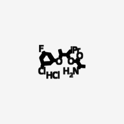 CC(N)C(=O)OC(C(C)C)C(C)Oc1cc(F)cc(Cl)c1.Cl